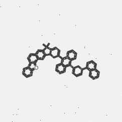 CC1(C)C2=CC=C(c3c4ccccc4c(C4=CC=CC(c5cccc6ccccc56)C4)c4ccccc34)CC2c2cc3c(ccc4c5ccccc5oc34)cc21